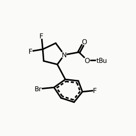 CC(C)(C)OC(=O)N1CC(F)(F)CC1c1cc(F)ccc1Br